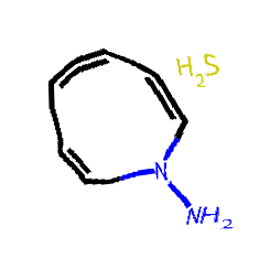 NN1C=CC=CC=C1.S